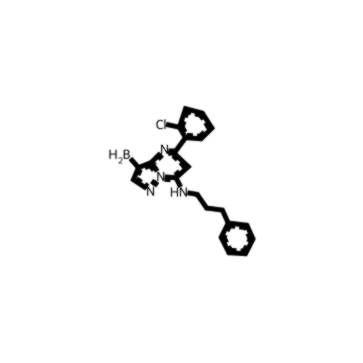 Bc1cnn2c(NCCCc3ccccc3)cc(-c3ccccc3Cl)nc12